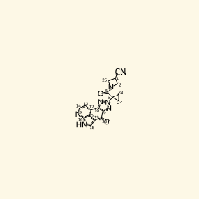 N#CC1CN(C(=O)C2(n3nc4c(n3)-c3ccnc5[nH]cc(c35)C4=O)CC2)C1